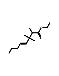 CCCC=CC(C)(C)C(C)C(=O)OCC